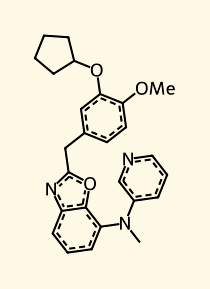 COc1ccc(Cc2nc3cccc(N(C)c4cccnc4)c3o2)cc1OC1CCCC1